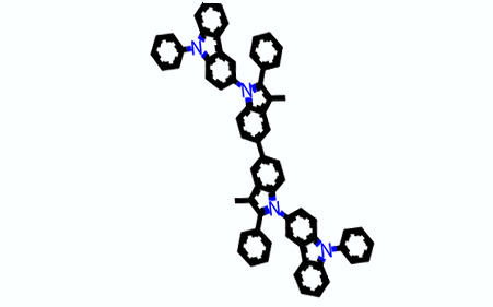 Cc1c(-c2ccccc2)n(-c2ccc3c(c2)c2ccccc2n3-c2ccccc2)c2ccc(-c3ccc4c(c3)c(C)c(-c3ccccc3)n4-c3ccc4c(c3)c3ccccc3n4-c3ccccc3)cc12